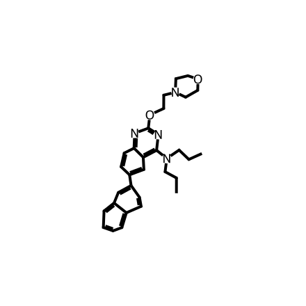 CCCN(CCC)c1nc(OCCN2CCOCC2)nc2ccc(-c3ccc4ccccc4c3)cc12